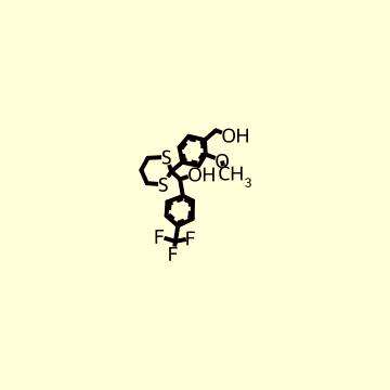 COc1cc(C2(C(O)c3ccc(C(F)(F)F)cc3)SCCCS2)ccc1CO